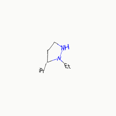 CCN1NCCC1C(C)C